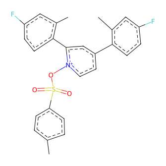 Cc1ccc(S(=O)(=O)O[n+]2ccc(-c3ccc(F)cc3C)cc2-c2ccc(F)cc2C)cc1